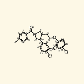 Cc1ncc(C(=O)N2C[C@@H](CCOc3ccc(Cl)cn3)[C@@H](c3ccc(Cl)c(Cl)c3)C2)cn1